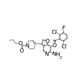 CCCOC(=O)N1CC=C(c2coc3c(O[C@H](C)c4c(Cl)ccc(F)c4Cl)c(N)ncc23)CC1